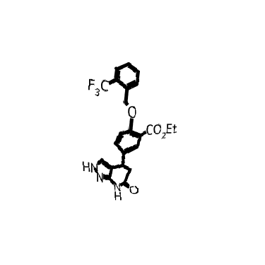 CCOC(=O)c1cc(C2CC(=O)Nc3n[nH]cc32)ccc1OCc1ccccc1C(F)(F)F